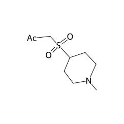 CC(=O)CS(=O)(=O)C1CCN(C)CC1